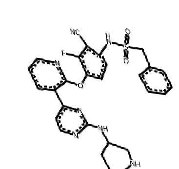 N#Cc1c(NS(=O)(=O)Cc2ccccc2)ccc(Oc2ncccc2-c2ccnc(NC3CCCNC3)n2)c1F